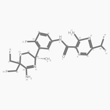 C[C@@]1(c2cc(NC(=O)c3ncc(C(F)F)nc3N)ccc2F)COC(CF)(CF)C(N)=N1